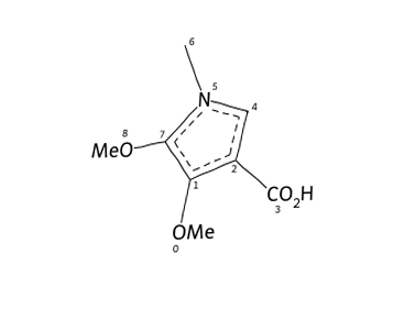 COc1c(C(=O)O)cn(C)c1OC